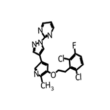 Cc1ncc(-c2cnn(-c3ncccn3)c2)cc1OCCc1c(Cl)ccc(F)c1Cl